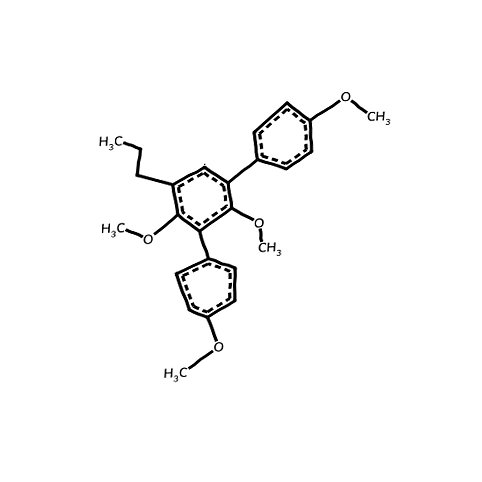 CCCc1[c]c(-c2ccc(OC)cc2)c(OC)c(-c2ccc(OC)cc2)c1OC